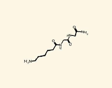 NCCCCCC(=O)NCC(=O)NCC(N)=O